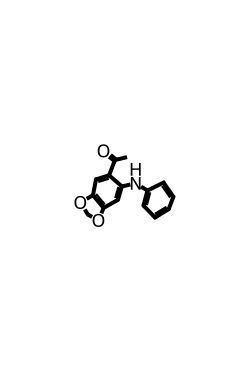 CC(=O)c1cc2c(cc1Nc1ccccc1)OCO2